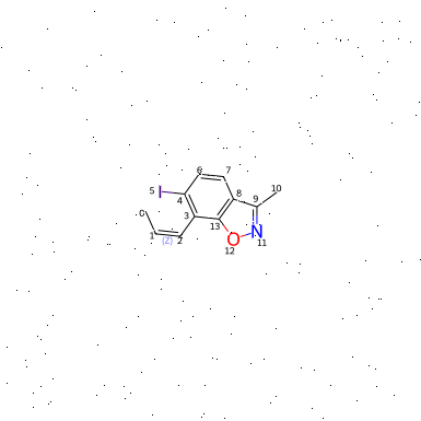 C/C=C\c1c(I)ccc2c(C)noc12